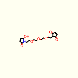 O=C1C=CC(=O)C1CCOCCOCCOCCN1C(=O)C=CC1O